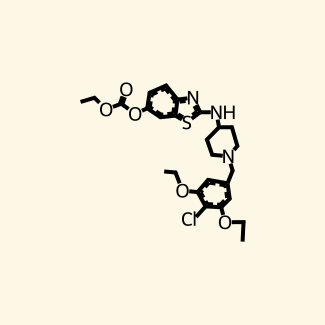 CCOC(=O)Oc1ccc2nc(NC3CCN(Cc4cc(OCC)c(Cl)c(OCC)c4)CC3)sc2c1